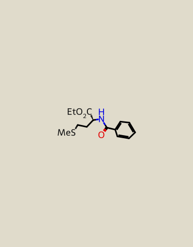 CCOC(=O)[C@H](CCSC)NC(=O)c1ccccc1